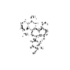 Cc1nccc(C(C)Oc2cnc(-c3ccc(F)c(Cl)c3F)c3ncnc(N)c23)n1